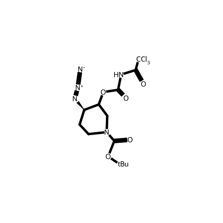 CC(C)(C)OC(=O)N1CC[C@@H](N=[N+]=[N-])C(OC(=O)NC(=O)C(Cl)(Cl)Cl)C1